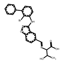 CC(O)C(N=Cc1ccc2onc(Nc3cccc(-c4ccccc4)c3Br)c2c1)C(=O)O